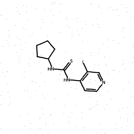 S=C(Nc1ccncc1I)NC1CCCC1